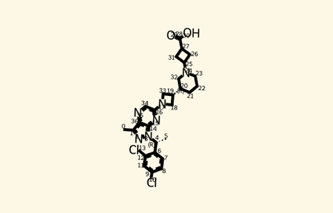 Cc1nn([C@H](C)c2ccc(Cl)cc2Cl)c2nc(N3CC([C@H]4CCCN(C5CC(C(=O)O)C5)C4)C3)cnc12